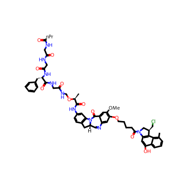 CCCC(=O)NCC(=O)NCC(=O)N[C@@H](Cc1ccccc1)C(=O)NCC(=O)NCO[C@@H](C)C(=O)Nc1ccc2c(c1)N1C(=O)c3cc(OC)c(OCCCCC(=O)N4C[C@@H](CCl)c5c4cc(O)c4cccc(C)c54)cc3N=C[C@@H]1C2